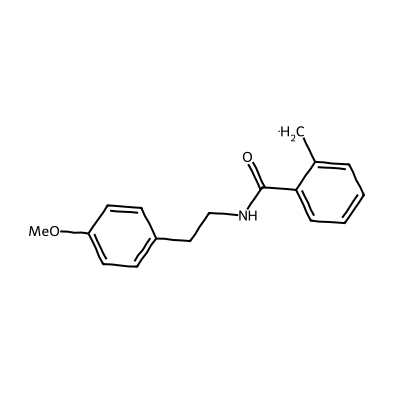 [CH2]c1ccccc1C(=O)NCCc1ccc(OC)cc1